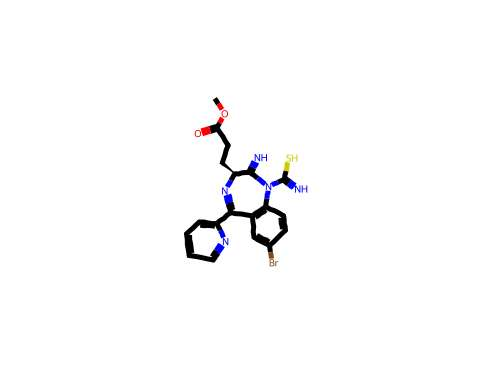 COC(=O)CC[C@@H]1N=C(c2ccccn2)c2cc(Br)ccc2N(C(=N)S)C1=N